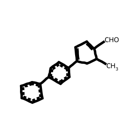 CC1CC(c2ccc(-c3ccccc3)cc2)=CC=C1C=O